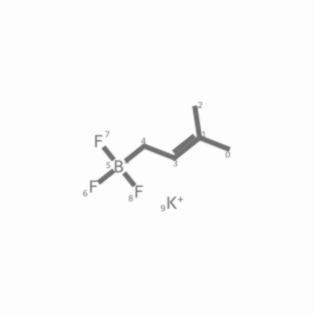 CC(C)=CC[B-](F)(F)F.[K+]